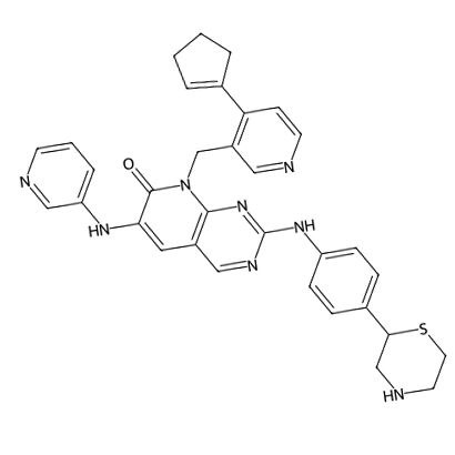 O=c1c(Nc2cccnc2)cc2cnc(Nc3ccc(C4CNCCS4)cc3)nc2n1Cc1cnccc1C1=CCCC1